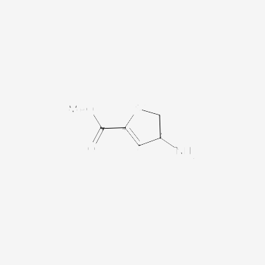 COC(=O)C1=CC(N)CS1